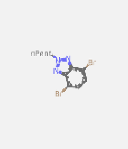 CCCCCn1nc2c(Br)ccc(Br)c2n1